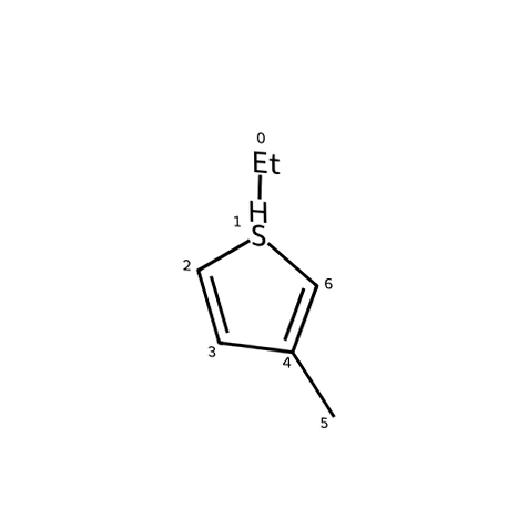 [CH2]C[SH]1C=CC(C)=C1